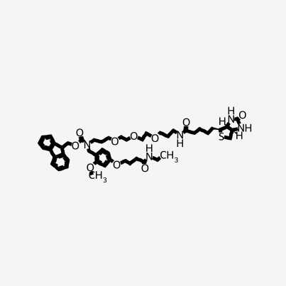 CCNC(=O)CCCOc1ccc(CN(CCCOCCOCCOCCCNC(=O)CCCC[C@@H]2SC[C@@H]3NC(=O)N[C@@H]32)C(=O)OCC2c3ccccc3-c3ccccc32)c(OC)c1